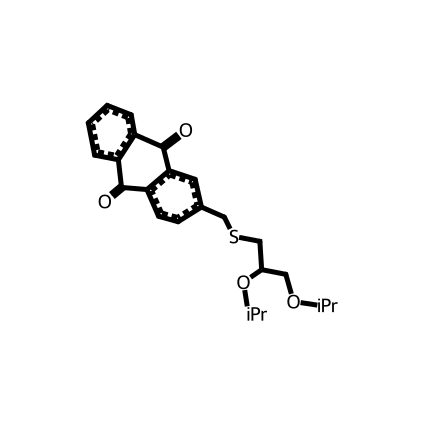 CC(C)OCC(CSCc1ccc2c(c1)C(=O)c1ccccc1C2=O)OC(C)C